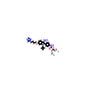 C[C@@H](OC(=O)Nc1ccc(-c2c(N)c3ccc(OCCCCn4cncn4)cc3n2C2CCC2)cc1)C(F)(F)F